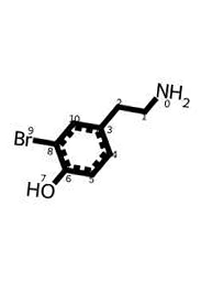 NCCc1ccc(O)c(Br)c1